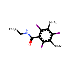 CC(=O)Nc1c(I)c(NC(C)=O)c(I)c(C(=O)NCC(=O)O)c1I